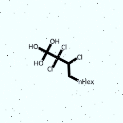 CCCCCCCC(Cl)C(Cl)(Cl)C(O)(O)O